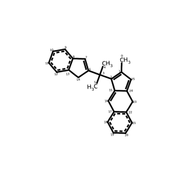 CC1=C(C(C)(C)C2=Cc3ccccc3C2)C2=Cc3ccccc3CC2=C1